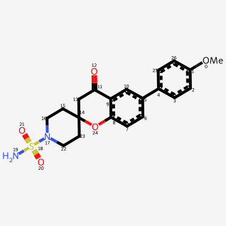 COc1ccc(-c2ccc3c(c2)C(=O)CC2(CCN(S(N)(=O)=O)CC2)O3)cc1